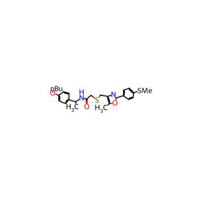 CCCCOc1ccc(C(C)NC(=O)CSCc2nc(-c3ccc(SC)cc3)oc2C)cc1